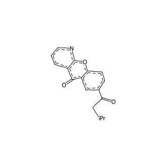 CC(C)CC(=O)c1ccc2oc3ncccc3c(=O)c2c1